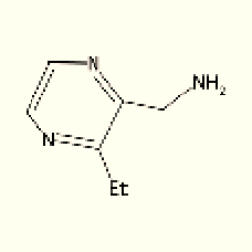 CCc1nccnc1CN